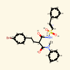 CCN(C(=O)C(CCc1ccc(Br)cc1)C(=O)NS(=O)(=O)/C=C/c1ccccc1)c1ccccc1